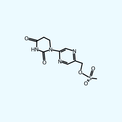 CS(=O)(=O)OCc1cnc(N2CCC(=O)NC2=O)cn1